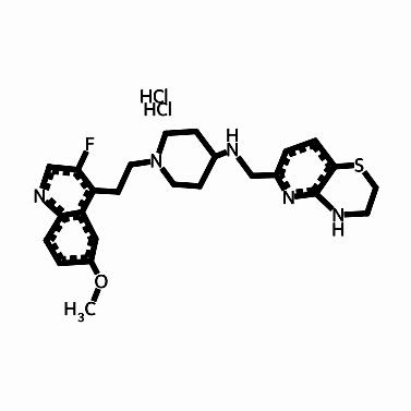 COc1ccc2ncc(F)c(CCN3CCC(NCc4ccc5c(n4)NCCS5)CC3)c2c1.Cl.Cl